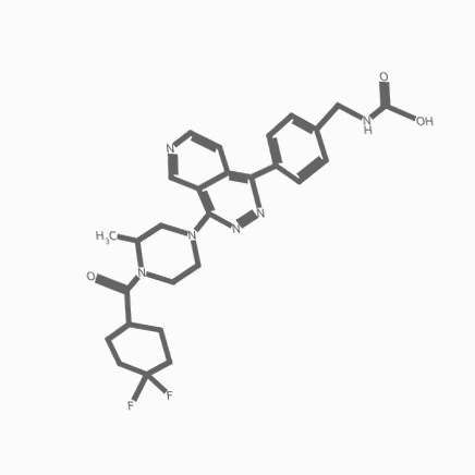 CC1CN(c2nnc(-c3ccc(CNC(=O)O)cc3)c3ccncc23)CCN1C(=O)C1CCC(F)(F)CC1